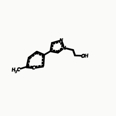 Cc1ccc(-c2cnn(CCO)c2)cc1